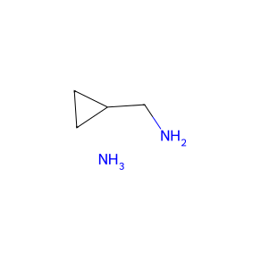 N.NCC1CC1